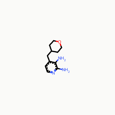 Nc1nccc(CC2CCOCC2)c1N